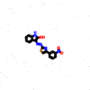 O=[N+]([O-])c1cccc(-c2csc(N=Nc3c(O)[nH]c4ccccc34)n2)c1